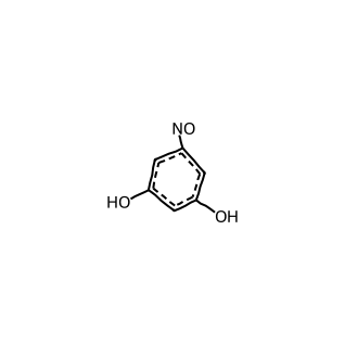 O=Nc1cc(O)cc(O)c1